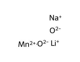 [Li+].[Mn+2].[Na+].[O-2].[O-2]